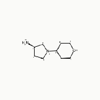 N[C@@H]1CCN(C2CCOCC2)C1